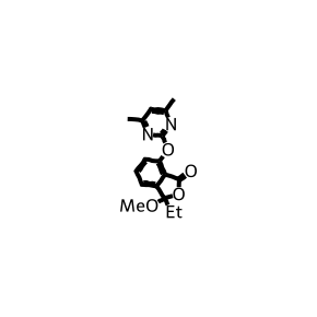 CCC1(OC)OC(=O)c2c(Oc3nc(C)cc(C)n3)cccc21